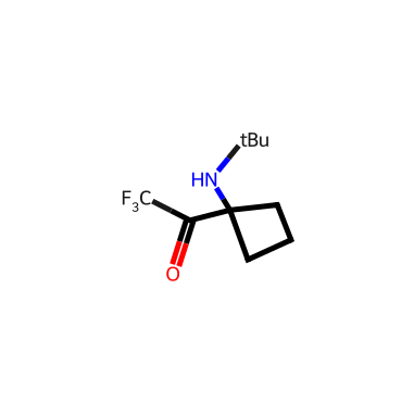 CC(C)(C)NC1(C(=O)C(F)(F)F)CCC1